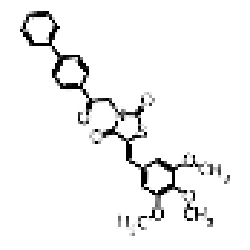 COc1cc(/C=C2\SC(=O)N(CC(=O)c3ccc(-c4ccccc4)cc3)C2=O)cc(OC)c1OC